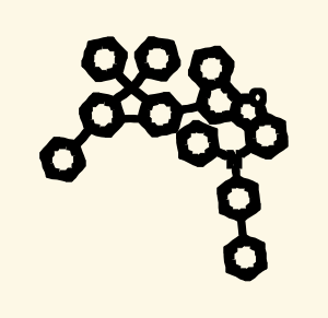 c1ccc(-c2ccc(N(c3ccccc3)c3cccc4oc5c6ccccc6c(-c6ccc7c(c6)C(c6ccccc6)(c6ccccc6)c6ccc(-c8ccccc8)cc6-7)cc5c34)cc2)cc1